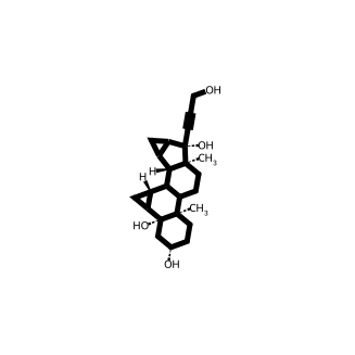 C[C@]12CCC3C([C@H]4CC4[C@]4(O)C[C@@H](O)CC[C@]34C)[C@@H]1C1CC1[C@@]2(O)C#CCO